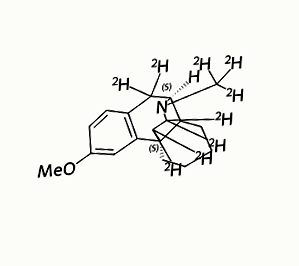 [2H]C1([2H])c2ccc(OC)cc2[C@]23CCCCC2[C@H]1N(C([2H])([2H])[2H])C([2H])([2H])C3([2H])[2H]